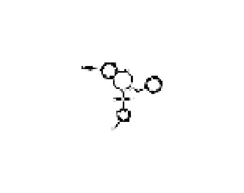 N#Cc1ccc2c(c1)CN(S(=O)(=O)c1ccc(Br)s1)[C@H](Cc1ccccc1)CN2